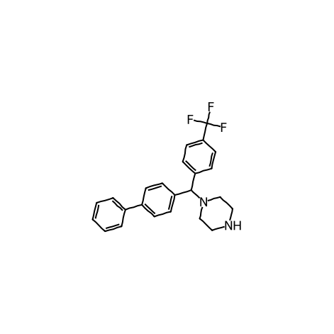 FC(F)(F)c1ccc(C(c2ccc(-c3ccccc3)cc2)N2CCNCC2)cc1